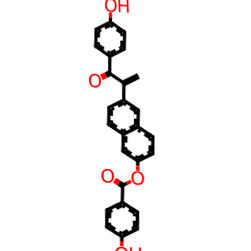 C=C(C(=O)c1ccc(O)cc1)c1ccc2cc(OC(=O)c3ccc(O)cc3)ccc2c1